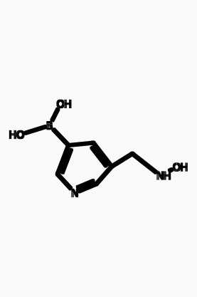 ONCc1cncc(B(O)O)c1